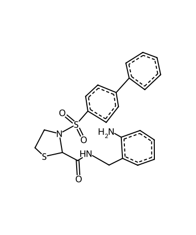 Nc1ccccc1CNC(=O)C1SCCN1S(=O)(=O)c1ccc(-c2ccccc2)cc1